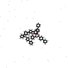 c1ccc(-c2ccc(-c3nc(-c4ccc(-c5ccccc5)cc4)nc(-c4ccccc4-n4c5ccccc5c5ccc6c7ccc8c9ccccc9n(-c9ccc(-c%10ccccc%10)cc9)c8c7oc6c54)n3)cc2)cc1